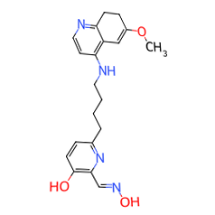 COC1=Cc2c(NCCCCc3ccc(O)c(/C=N/O)n3)ccnc2CC1